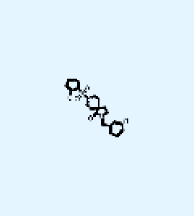 O=C1N(Cc2cccc(Cl)c2)CCC12CCN(S(=O)(=O)c1ccccc1Cl)CC2